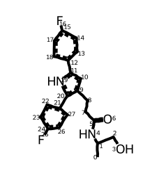 CC(CO)NC(=O)CCc1cc(-c2ccc(F)cc2)[nH]c1-c1ccc(F)cc1